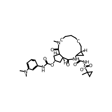 CN1CCCCCC[C@@H]2C[C@@]2(C(=O)NS(=O)(=O)C2(C)CC2)NC(=O)[C@@H]2C[C@@H](OC(=O)Nc3cccc(N(C)C)c3)C[C@H]2C1=O